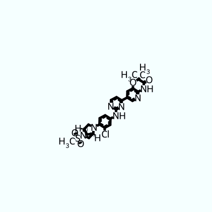 CC1(C)Oc2cc(-c3ccnc(Nc4ccc(N5C[C@@H]6C[C@H]5CN6S(C)(=O)=O)c(Cl)c4)n3)cnc2NC1=O